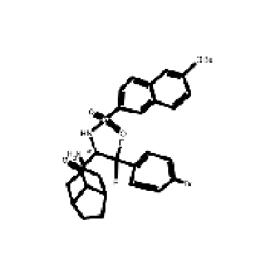 CC(C)COc1ccc2cc(S(=O)(=O)N[C@H](C(=O)C3C4CCC3CC(N)C4)C(F)(F)c3ccc(Br)cc3)ccc2c1